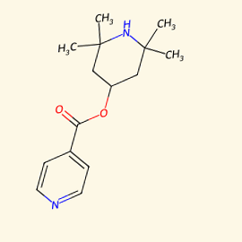 CC1(C)CC(OC(=O)c2ccncc2)CC(C)(C)N1